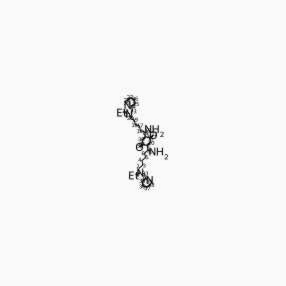 CCN(CCCCCC(N)C1=CC(=O)C(C(N)CCCCCN(CC)Cc2ccccn2)=CC1=O)Cc1ccccn1